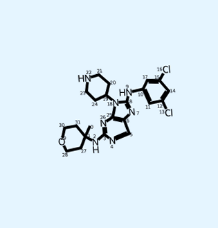 CC1(Nc2ncc3nc(Nc4cc(Cl)cc(Cl)c4)n(C4CCNCC4)c3n2)CCOCC1